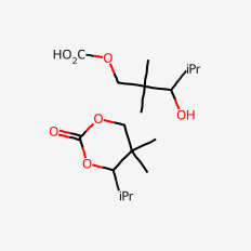 CC(C)C(O)C(C)(C)COC(=O)O.CC(C)C1OC(=O)OCC1(C)C